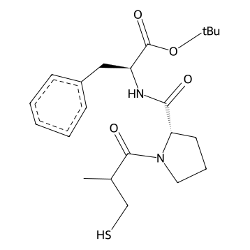 CC(CS)C(=O)N1CCC[C@H]1C(=O)N[C@@H](Cc1ccccc1)C(=O)OC(C)(C)C